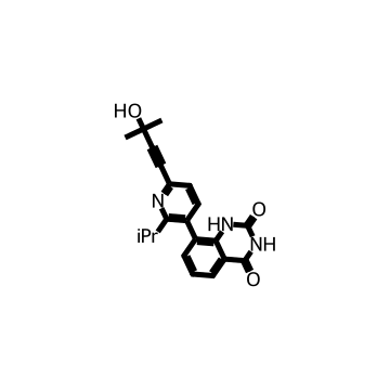 CC(C)c1nc(C#CC(C)(C)O)ccc1-c1cccc2c(=O)[nH]c(=O)[nH]c12